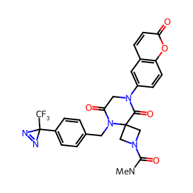 CNC(=O)N1CC2(C1)C(=O)N(c1ccc3oc(=O)ccc3c1)CC(=O)N2Cc1ccc(C2(C(F)(F)F)N=N2)cc1